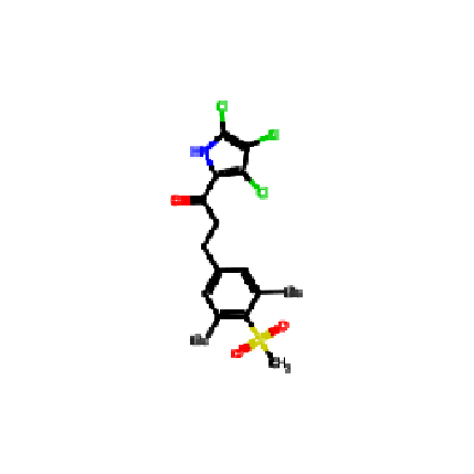 CC(C)(C)c1cc(CCC(=O)c2[nH]c(Cl)c(Cl)c2Cl)cc(C(C)(C)C)c1S(C)(=O)=O